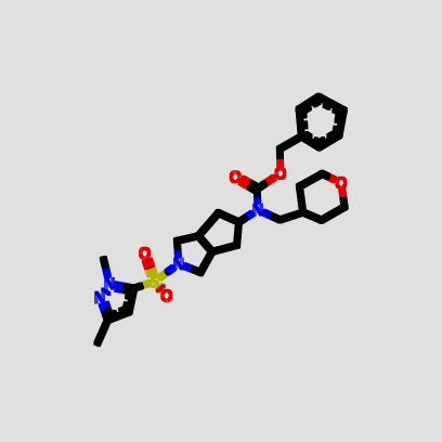 Cc1cc(S(=O)(=O)N2CC3CC(N(CC4CCOCC4)C(=O)OCc4ccccc4)CC3C2)n(C)n1